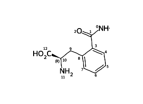 [NH]C(=O)c1ccccc1C[C@@H](N)C(=O)O